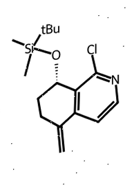 C=C1CC[C@H](O[Si](C)(C)C(C)(C)C)c2c1ccnc2Cl